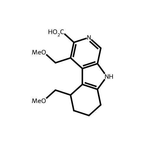 COCc1c(C(=O)O)ncc2[nH]c3c(c12)C(COC)CCC3